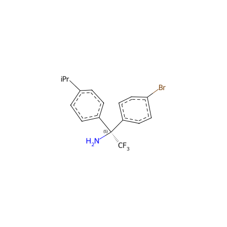 CC(C)c1ccc([C@](N)(c2ccc(Br)cc2)C(F)(F)F)cc1